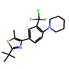 Cc1sc(C(C)(C)C)nc1-c1ccc(N2CCCCC2)c(C(F)(F)F)c1